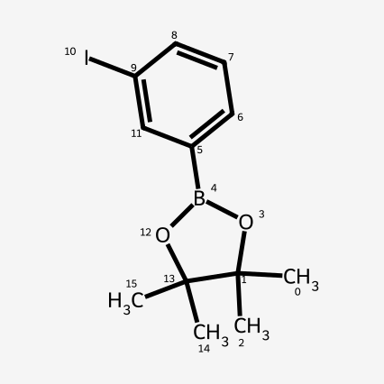 CC1(C)OB(c2cccc(I)c2)OC1(C)C